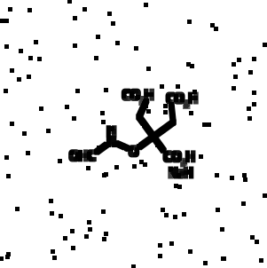 O=CNOC(CC(=O)O)(CC(=O)O)C(=O)O.[NaH]